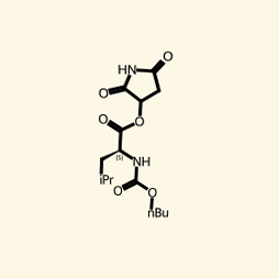 CCCCOC(=O)N[C@@H](CC(C)C)C(=O)OC1CC(=O)NC1=O